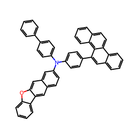 c1ccc(-c2ccc(N(c3ccc(-c4cc5ccccc5c5ccc6ccccc6c45)cc3)c3ccc4cc5c(cc4c3)oc3ccccc35)cc2)cc1